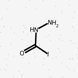 NNC(=O)I